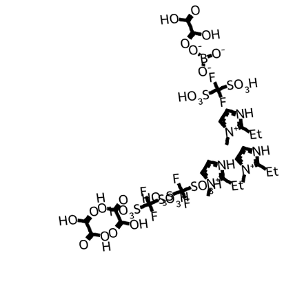 CCc1[nH]cc[n+]1C.CCc1[nH]cc[n+]1C.CCc1[nH]cc[n+]1C.O=C(O)C(=O)O.O=C(O)C(=O)O.O=C(O)C(=O)O.O=S(=O)(O)C(F)(F)S(=O)(=O)O.O=S(=O)(O)C(F)(F)S(=O)(=O)O.O=S(=O)(O)C(F)(F)S(=O)(=O)O.[O-]B([O-])[O-]